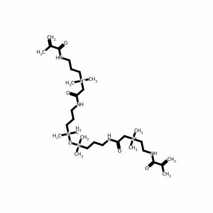 C=C(C)C(=O)NCCC[N+](C)(C)CC(=O)NCCC[Si](C)(C)O[Si](C)(C)CCCNC(=O)C[N+](C)(C)CCNC(=O)C(=C)C